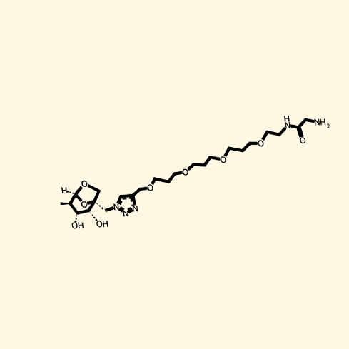 C[C@H]1[C@H]2OC[C@](Cn3cc(COCCCOCCCOCCCOCCNC(=O)CN)nn3)(O2)[C@H](O)[C@@H]1O